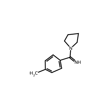 [CH2]c1ccc(C(=N)N2CCCC2)cc1